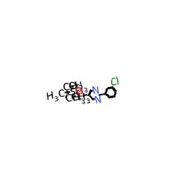 CC(C)(C)[Si](C)(C)OCc1cnc(-c2cccc(Cl)c2)nc1